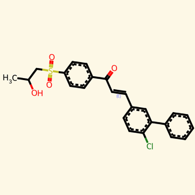 CC(O)CS(=O)(=O)c1ccc(C(=O)/C=C/c2ccc(Cl)c(-c3ccccc3)c2)cc1